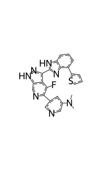 CN(C)c1cncc(-c2ncc3[nH]nc(-c4nc5c(-c6cccs6)cccc5[nH]4)c3c2F)c1